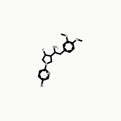 COc1ccc(CC(N)C2CN(c3ccc(Br)cn3)CC2F)cc1OC